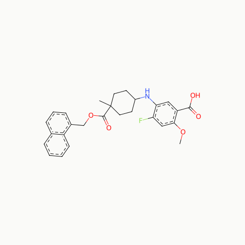 COc1cc(F)c(NC2CCC(C)(C(=O)OCc3cccc4ccccc34)CC2)cc1C(=O)O